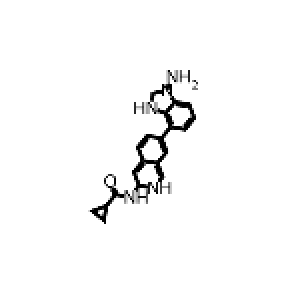 NN1CNc2c(-c3ccc4c(c3)=CNC(NC(=O)C3CC3)C=4)cccc21